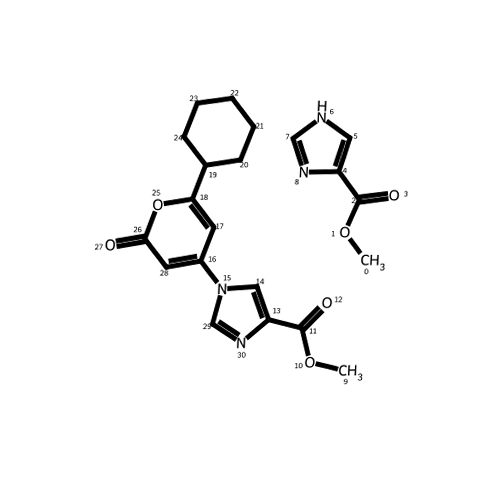 COC(=O)c1c[nH]cn1.COC(=O)c1cn(-c2cc(C3CCCCC3)oc(=O)c2)cn1